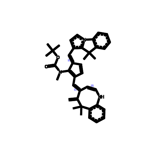 C=C1C(=C/C2=C(N(C)C(=O)OC(C)(C)C)C(=C/c3ccn4c3C(C)(C)c3ccccc3-4)/C=C2)/C=C\Nc2ccccc2C1(C)C